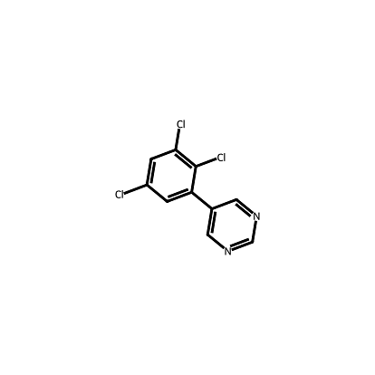 Clc1cc(Cl)c(Cl)c(-c2cncnc2)c1